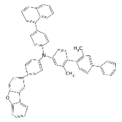 Cc1cc(-c2ccccc2)ccc1-c1ccc(N(c2ccc(-c3ccc4oc5ccccc5c4c3)cc2)c2ccc(-c3cccc4ccccc34)cc2)cc1C